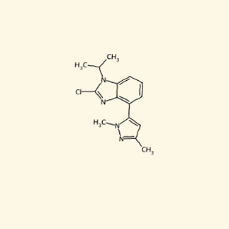 Cc1cc(-c2cccc3c2nc(Cl)n3C(C)C)n(C)n1